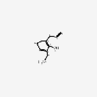 C=CCC1=C(O)C(CN)=CCC1